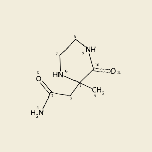 CC1(CC(N)=O)NCCNC1=O